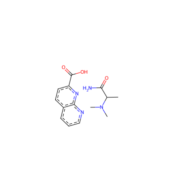 CC(C(N)=O)N(C)C.O=C(O)c1ccc2cccnc2n1